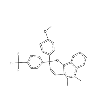 COc1ccc(C2(c3ccc(C(F)(F)F)cc3)C=Cc3c(C)c(C)c4ccccc4c3O2)cc1